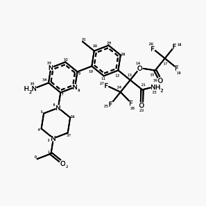 CC(=O)N1CCN(c2nc(-c3cc(C(OC(=O)C(F)(F)F)(C(N)=O)C(F)(F)F)ccc3C)cnc2N)CC1